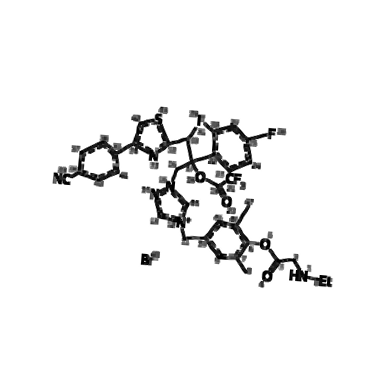 CCNCC(=O)Oc1c(C)cc(C[n+]2cnn(CC(OC(=O)C(F)(F)F)(c3ccc(F)cc3F)C(C)c3nc(-c4ccc(C#N)cc4)cs3)c2)cc1C.[Br-]